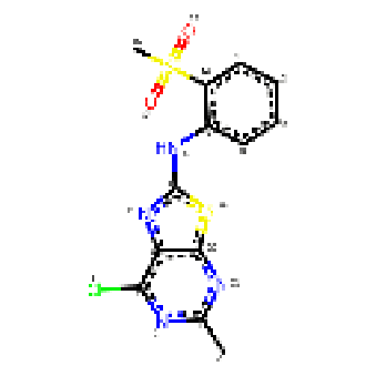 Cc1nc(Cl)c2nc(Nc3ccccc3S(C)(=O)=O)sc2n1